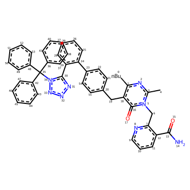 CCCCc1nc(C)n(Cc2ncccc2C(N)=O)c(=O)c1Cc1ccc(-c2ccccc2-c2nnnn2C(c2ccccc2)(c2ccccc2)c2ccccc2)cc1